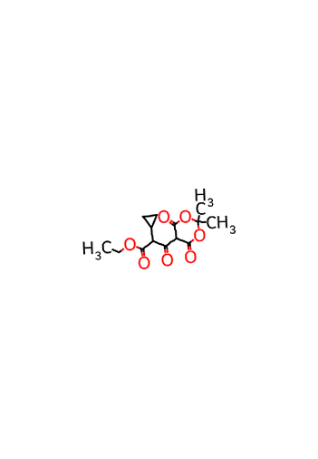 CCOC(=O)C(C(=O)C1C(=O)OC(C)(C)OC1=O)C1CC1